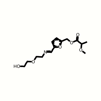 COC(C)C(=O)OCc1ccc(/C=N/CCOCCO)o1